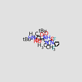 C[C@H](C[C@H](O)[C@H](CN1CC(=O)N(c2c(F)cccc2F)CC1(C)C)NC(=O)OC(C)(C)C)C(=O)NCC(C)(C)C